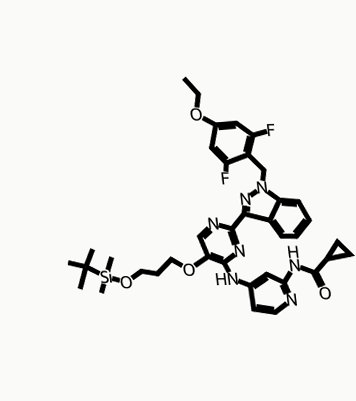 CCOc1cc(F)c(Cn2nc(-c3ncc(OCCCO[Si](C)(C)C(C)(C)C)c(Nc4ccnc(NC(=O)C5CC5)c4)n3)c3ccccc32)c(F)c1